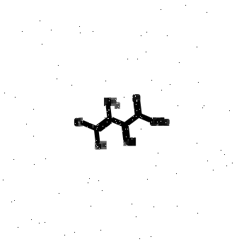 COC(=O)C(=N)/C(N)=C(\S)Cl